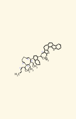 C=C/C=C\C(=C)C1=C(C=C)/C(C=C)=C(c2ccc(C(=C)/C=c3\c(=C)sc4c3ccc3ccc5c6ccccc6sc5c34)c3ccccc23)\C=C\CC\C=C\1